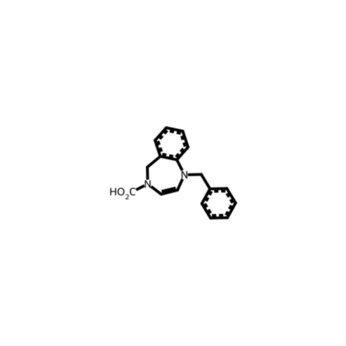 O=C(O)N1C=CN(Cc2ccccc2)c2ccccc2C1